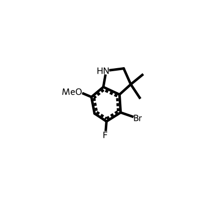 COc1cc(F)c(Br)c2c1NCC2(C)C